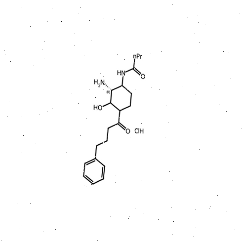 CCCC(=O)NC1CCC(C(=O)CCCc2ccccc2)C(O)[C@@H]1N.Cl